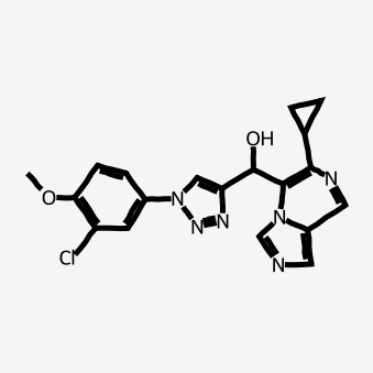 COc1ccc(-n2cc(C(O)c3c(C4CC4)ncc4cncn34)nn2)cc1Cl